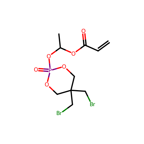 C=CC(=O)OC(C)OP1(=O)OCC(CBr)(CBr)CO1